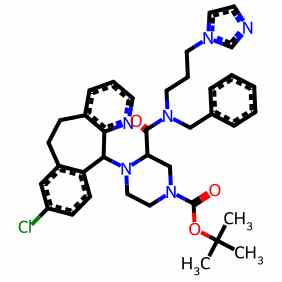 CC(C)(C)OC(=O)N1CCN(C2c3ccc(Cl)cc3CCc3cccnc32)C(C(=O)N(CCCn2ccnc2)Cc2ccccc2)C1